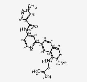 C=C(C#N)CNc1c(OC)ccc2ccc(-c3cc(NC(=O)c4cnn(C)c4)ccn3)cc12